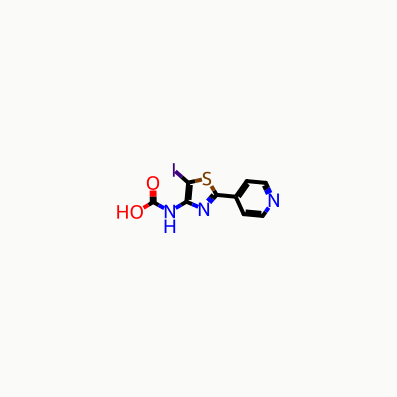 O=C(O)Nc1nc(-c2ccncc2)sc1I